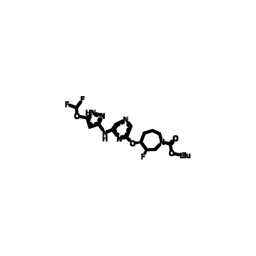 CC(C)(C)OC(=O)N1CCC[C@H](Oc2cncc(Nc3cc(OC(F)F)[nH]n3)n2)[C@H](F)C1